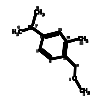 COCc1cc[c]([Bi]([CH3])[CH3])cc1C